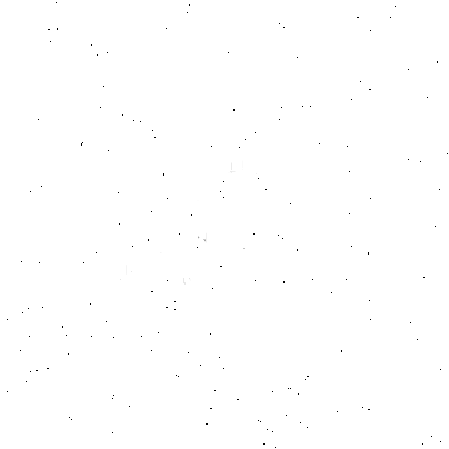 BC1CCC(B)(B)N1C(C)(CC)CCC